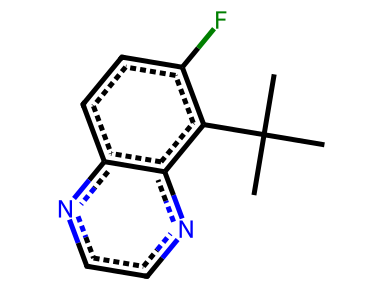 CC(C)(C)c1c(F)ccc2nccnc12